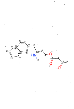 CNC(=CCOC(=O)CC(C)=O)Cc1ccc2ccccc2c1